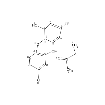 CCC(C)=O.Oc1cc(Cl)ccc1Oc1ccc(Cl)cc1Cl